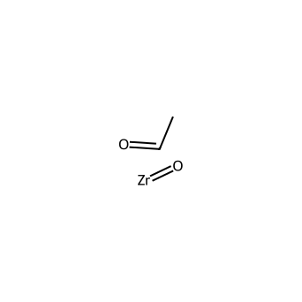 CC=O.[O]=[Zr]